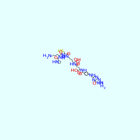 NCCCCC(NC(=O)C1CCCN1)C(=O)NC(CS)C(=O)NCCCCC(NC(=O)CCC(NC(=O)c1ccc(NCC2=NC3C(=O)NC(N)=NC3N=C2)cc1)C(=O)O)C(=O)O